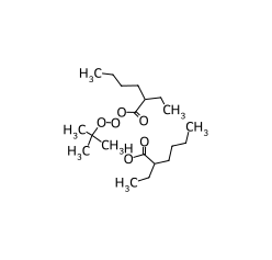 CCCCC(CC)C(=O)O.CCCCC(CC)C(=O)OOOC(C)(C)C